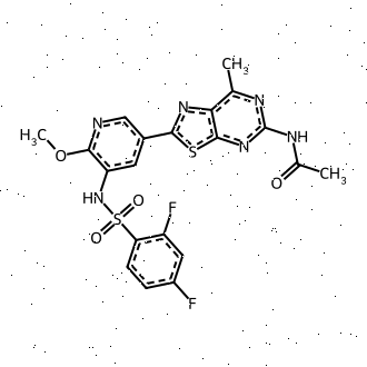 COc1ncc(-c2nc3c(C)nc(NC(C)=O)nc3s2)cc1NS(=O)(=O)c1ccc(F)cc1F